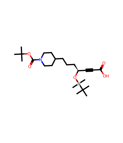 CC(C)(C)OC(=O)N1CCC(CCC[C@@H](C#CC(=O)O)O[Si](C)(C)C(C)(C)C)CC1